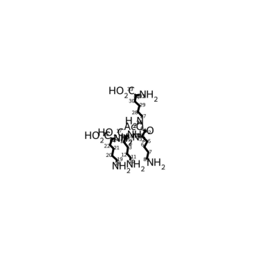 CC(=O)OC(=O)[C@@H](N)CCCCN.NCCCC[C@H](N)C(=O)O.NCCCC[C@H](N)C(=O)O.NCCCC[C@H](N)C(=O)O